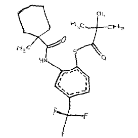 CC(C)(C)C(=O)Sc1ccc(C(F)(F)F)cc1NC(=O)C1(C)CCCCC1